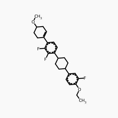 CCOc1ccc(C2CCC(c3ccc(C4=CCC(OC)CC4)c(F)c3F)CC2)cc1F